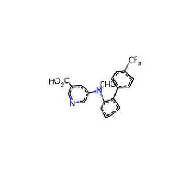 O=CN(c1cncc(C(=O)O)c1)c1ccccc1-c1ccc(C(F)(F)F)cc1